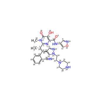 C[C@H](c1nc(C(=O)Nc2cnoc2)c(O)c(=O)n1C)[C@@H](c1cnn(CCN2CCNCC2)c1)c1ccccc1C#N